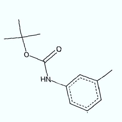 Cc1c[c]cc(NC(=O)OC(C)(C)C)c1